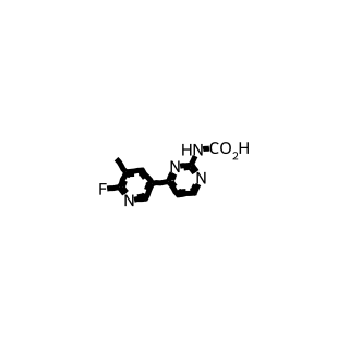 Cc1cc(-c2ccnc(NC(=O)O)n2)cnc1F